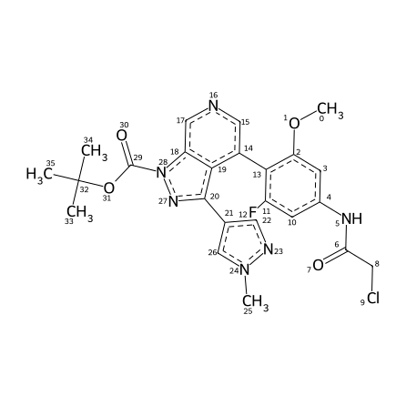 COc1cc(NC(=O)CCl)cc(F)c1-c1cncc2c1c(-c1cnn(C)c1)nn2C(=O)OC(C)(C)C